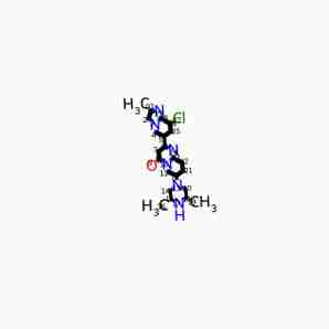 Cc1cn2cc(-c3cc(=O)n4cc(N5C[C@@H](C)N[C@@H](C)C5)ccc4n3)cc(Cl)c2n1